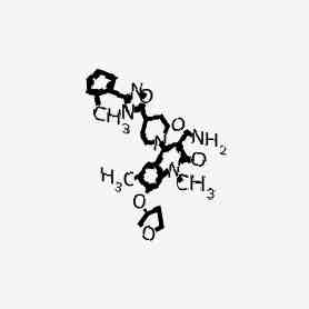 Cc1cc2c(N3CCC(c4nc(-c5ccccc5C)no4)CC3)c(C(N)=O)c(=O)n(C)c2cc1O[C@H]1CCOC1